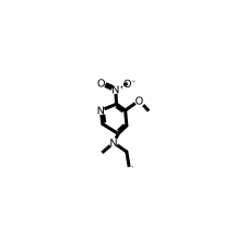 [CH2]CN(C)c1cnc([N+](=O)[O-])c(OC)c1